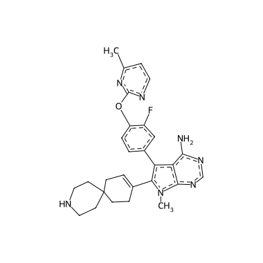 Cc1ccnc(Oc2ccc(-c3c(C4=CCC5(CCNCC5)CC4)n(C)c4ncnc(N)c34)cc2F)n1